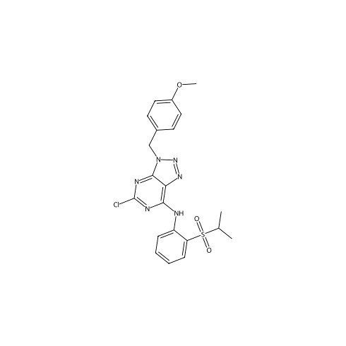 COc1ccc(Cn2nnc3c(Nc4ccccc4S(=O)(=O)C(C)C)nc(Cl)nc32)cc1